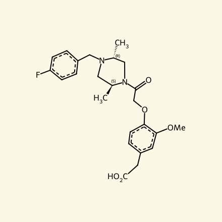 COc1cc(CC(=O)O)ccc1OCC(=O)N1C[C@@H](C)N(Cc2ccc(F)cc2)C[C@@H]1C